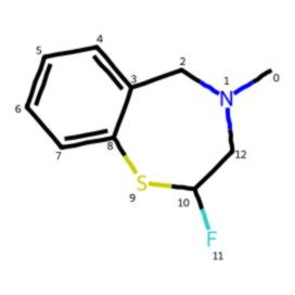 CN1Cc2ccccc2SC(F)C1